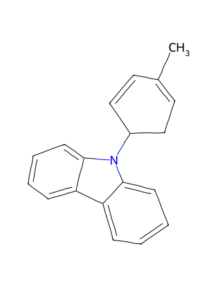 CC1=CCC(n2c3ccccc3c3ccccc32)C=C1